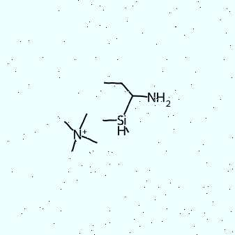 CCC(N)[SiH](C)C.C[N+](C)(C)C